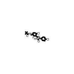 CC(C)(C)C(=O)NCc1ccc(Cl)c(-c2nn(-c3ccc(Cl)cc3)c(=O)[nH]2)c1F